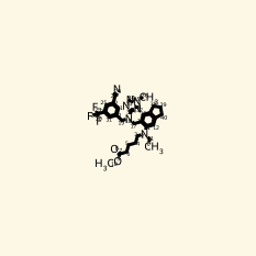 CCN(CCCCC(=O)OC)c1cc2c(cc1CN(Cc1cc(C#N)cc(C(F)(F)F)c1)c1nnn(C)n1)CCC2